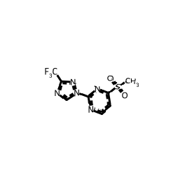 CS(=O)(=O)c1ccnc(-n2cnc(C(F)(F)F)n2)n1